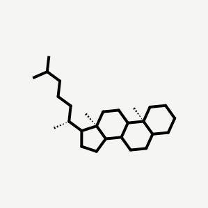 CC(C)CCC[C@@H](C)C1CCC2C3CCC4CCCC[C@]4(C)C3CC[C@@]21C